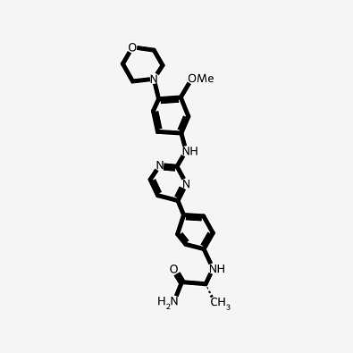 COc1cc(Nc2nccc(-c3ccc(N[C@H](C)C(N)=O)cc3)n2)ccc1N1CCOCC1